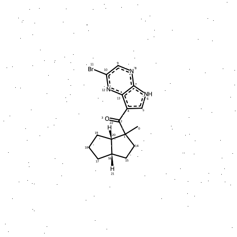 CC1(C(=O)c2c[nH]c3ncc(Br)nc23)CC[C@@H]2CCC[C@@H]21